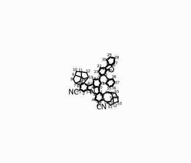 N#Cc1cc2c(c3c1C1CC4CC5CC3CC45C1)c1cc(-c3ccc4c(oc5ccccc54)c3-c3ccccc3)cc3c4c5c(c(C#N)cc4n2c13)C1CC2CC3CC5CC23C1